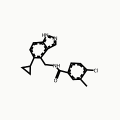 Cc1cc(C(=O)NCc2c(C3CC3)ccc3[nH]ncc23)ccc1Cl